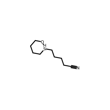 N#CCCCC[SiH]1CCCCO1